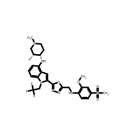 COc1cc(S(C)(=O)=O)ccc1NCc1nnc(-c2cc3c(N[C@H]4CCN(C)C[C@H]4F)cccc3n2CC(F)(F)F)o1